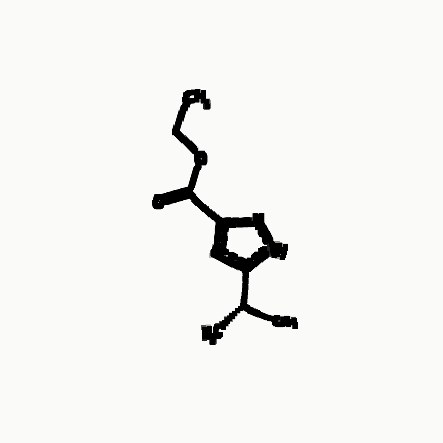 CCOC(=O)c1cc([C@@H](C)O)[nH]n1